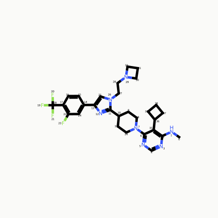 CNc1ncnc(N2CCC(c3nc(-c4ccc(C(F)(F)F)c(F)c4)cn3CCN3CCC3)CC2)c1C1CCC1